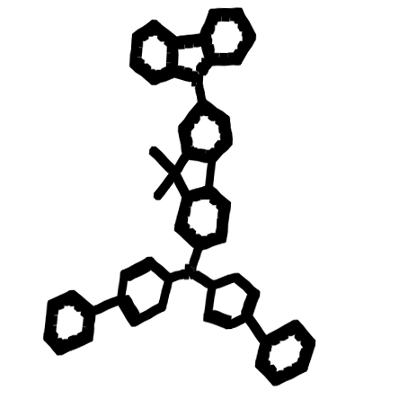 CC1(C)c2cc(N(C3C=CC(c4ccccc4)=CC3)C3C=CC(c4ccccc4)=CC3)ccc2-c2ccc(-n3c4ccccc4c4ccccc43)cc21